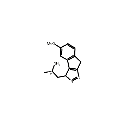 COc1ccc2c(c1)C1=C(C2)N=NC1C[C@@H](C)N